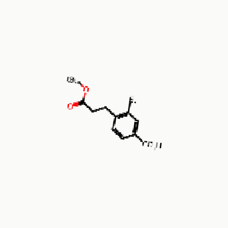 CCc1cc(C(=O)O)ccc1CCC(=O)OC(C)(C)C